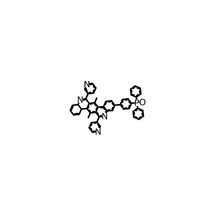 Cc1c2c(c(C)c3c1c(-c1cccnc1)nc1cc(-c4ccc(P(=O)(c5ccccc5)c5ccccc5)cc4)ccc13)C(c1cccnc1)=NC1C=CC=CC21